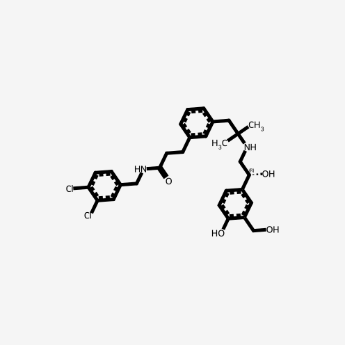 CC(C)(Cc1cccc(CCC(=O)NCc2ccc(Cl)c(Cl)c2)c1)NC[C@H](O)c1ccc(O)c(CO)c1